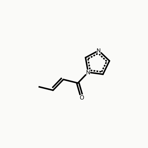 C/C=C/C(=O)n1ccnc1